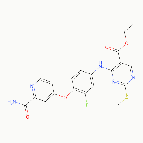 CCOC(=O)c1cnc(SC)nc1Nc1ccc(Oc2ccnc(C(N)=O)c2)c(F)c1